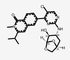 CC(C)c1cc2cc(-c3nc(N[C@@H]4C[C@H]5CO[C@H](O5)[C@H]4O)ncc3Cl)ccc2c(=O)n1C